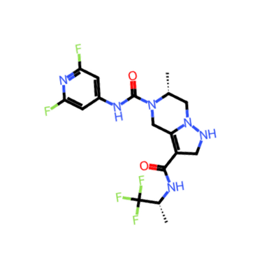 C[C@@H]1CN2NCC(C(=O)N[C@H](C)C(F)(F)F)=C2CN1C(=O)Nc1cc(F)nc(F)c1